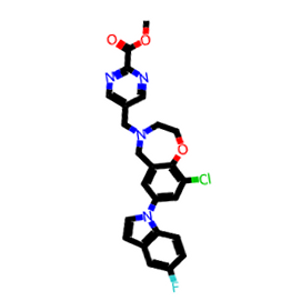 COC(=O)c1ncc(CN2CCOc3c(Cl)cc(-n4ccc5cc(F)ccc54)cc3C2)cn1